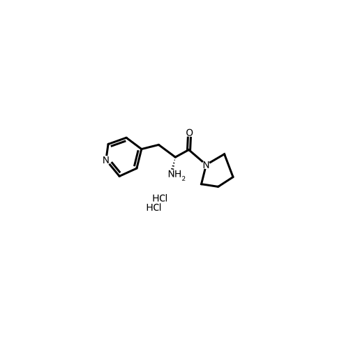 Cl.Cl.N[C@H](Cc1ccncc1)C(=O)N1CCCC1